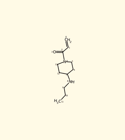 C=CC(=O)N1CCC(NCCC)CC1